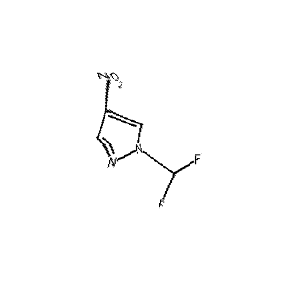 O=[N+]([O-])c1cnn(C(F)F)c1